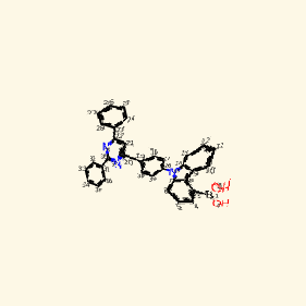 OB(O)c1cccc2c1c1ccccc1n2-c1ccc(-c2cc(-c3ccccc3)nc(-c3ccccc3)n2)cc1